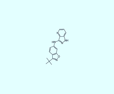 CC(C)(C)c1noc2cc(Nc3n[nH]c4cccnc34)ccc12